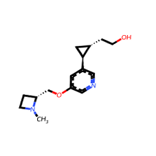 CN1CC[C@@H]1COc1cncc([C@H]2C[C@@H]2CCO)c1